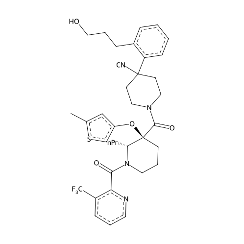 [C-]#[N+]C1(c2ccccc2CCCO)CCN(C(=O)[C@]2(Oc3csc(C)c3)CCCN(C(=O)c3ncccc3C(F)(F)F)[C@@H]2CCC)CC1